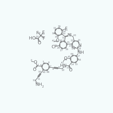 COC(=O)c1ccc(C#CCNC(=O)c2ccc(Nc3ncc4c(n3)-c3ccc(Cl)cc3C(c3c(F)cccc3OC)=NC4)cc2OC)cc1C#CCN.O=C(O)C(F)(F)F